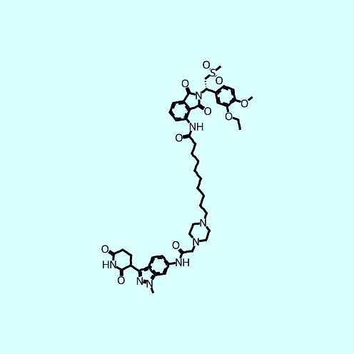 CCOc1cc([C@@H](CS(C)(=O)=O)N2C(=O)c3cccc(NC(=O)CCCCCCCCCN4CCN(CC(=O)Nc5ccc6c(C7CCC(=O)NC7=O)nn(C)c6c5)CC4)c3C2=O)ccc1OC